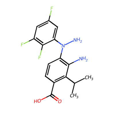 CC(C)c1c(C(=O)O)ccc(N(N)c2cc(F)cc(F)c2F)c1N